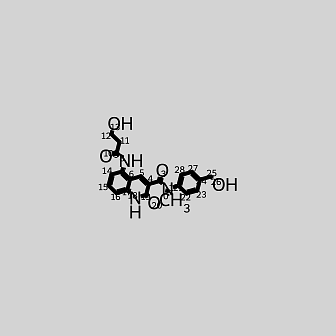 CN(C(=O)c1cc2c(NC(=O)CCO)cccc2[nH]c1=O)c1ccc(CO)cc1